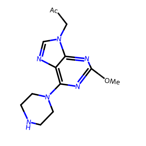 COc1nc(N2CCNCC2)c2ncn(CC(C)=O)c2n1